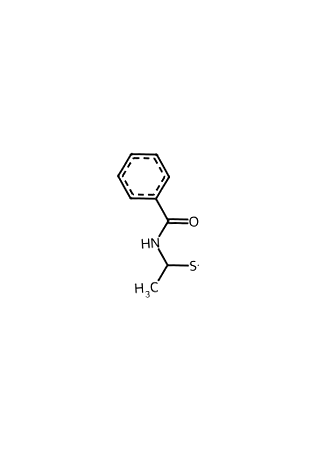 CC([S])NC(=O)c1ccccc1